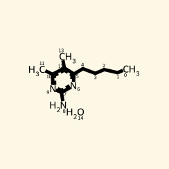 CCCCCc1nc(N)nc(C)c1C.O